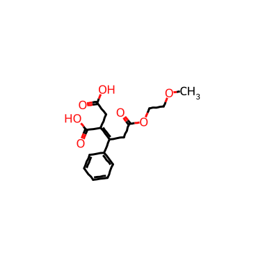 COCCOC(=O)CC(=C(CC(=O)O)C(=O)O)c1ccccc1